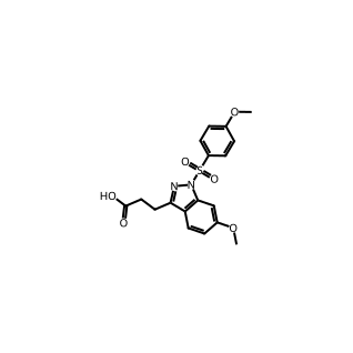 COc1ccc(S(=O)(=O)n2nc(CCC(=O)O)c3ccc(OC)cc32)cc1